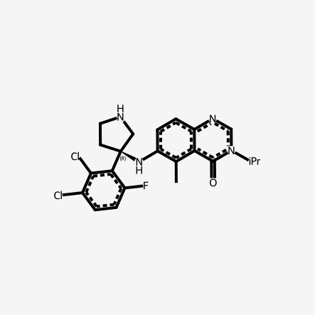 Cc1c(N[C@@]2(c3c(F)ccc(Cl)c3Cl)CCNC2)ccc2ncn(C(C)C)c(=O)c12